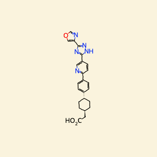 O=C(O)C[C@H]1CC[C@H](c2ccc(-c3ccc(-c4nc(-c5cocn5)n[nH]4)cn3)cc2)CC1